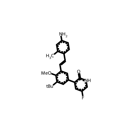 COc1c(/C=C/c2ccc(N)cc2C)cc(-c2cc(F)c[nH]c2=O)cc1C(C)(C)C